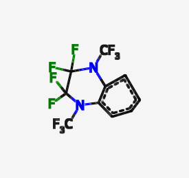 FC(F)(F)N1c2ccccc2N(C(F)(F)F)C(F)(F)C1(F)F